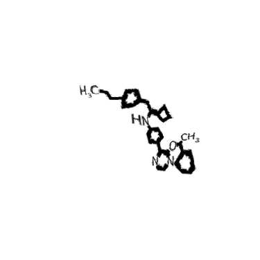 CCCc1ccc(CC(Nc2ccc(-c3nccnc3OC(C)c3ccccc3)cc2)=C2CCC2)cc1